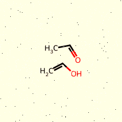 C=CO.CC=O